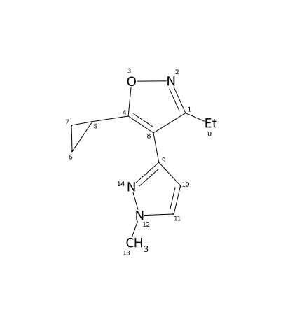 CCc1noc(C2CC2)c1-c1ccn(C)n1